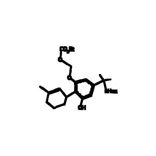 CCCCCCC(C)(C)c1cc(O)c(C2C=C(C)CCC2)c(OCOC(=O)OCC)c1